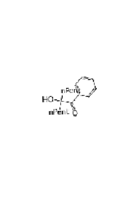 CCCCCC(O)(CCCCC)C(=O)c1ccccc1